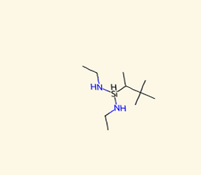 CCN[SiH](NCC)C(C)C(C)(C)C